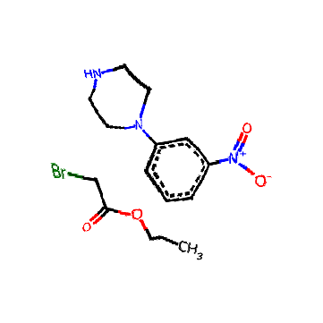 CCOC(=O)CBr.O=[N+]([O-])c1cccc(N2CCNCC2)c1